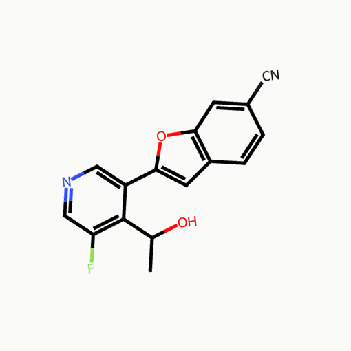 CC(O)c1c(F)cncc1-c1cc2ccc(C#N)cc2o1